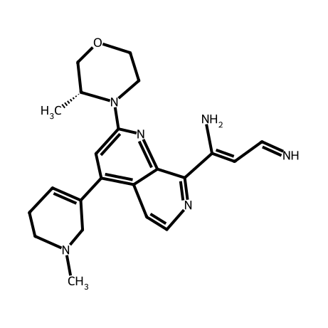 C[C@@H]1COCCN1c1cc(C2=CCCN(C)C2)c2ccnc(/C(N)=C/C=N)c2n1